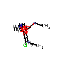 CCCCCCCC/C=C\CCCCCCCC(=O)OC[C@H](COP(=O)(O)OC(C[N+](C)(C)C)C(OC(=O)OCCCCCCCCCCCC)C(C)C)OC(=O)CCCCCCC/C=C\CCCCCCCC.[Cl-]